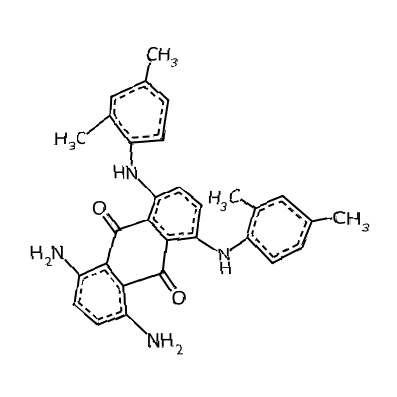 Cc1ccc(Nc2ccc(Nc3ccc(C)cc3C)c3c2C(=O)c2c(N)ccc(N)c2C3=O)c(C)c1